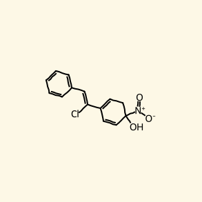 O=[N+]([O-])C1(O)C=CC(C(Cl)=Cc2ccccc2)=CC1